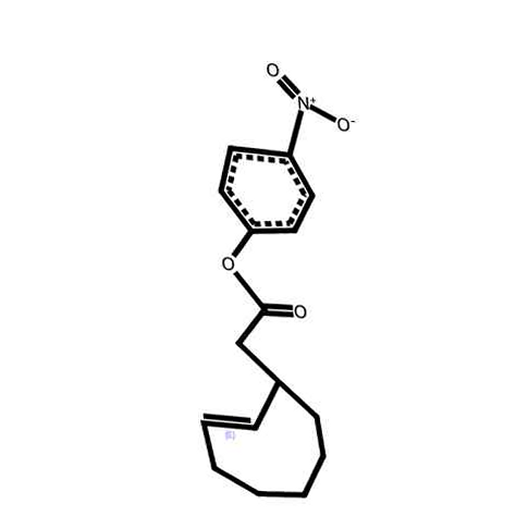 O=C(CC1/C=C/CCCCC1)Oc1ccc([N+](=O)[O-])cc1